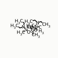 CCN(CC)[Si](C)(C)O[Si](C)(C)O[Si](C)(C)N(CC)CC